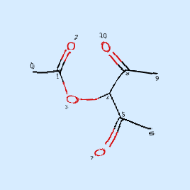 CC(=O)OC(C(C)=O)C(C)=O